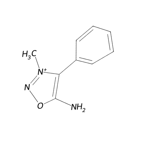 C[n+]1noc(N)c1-c1ccccc1